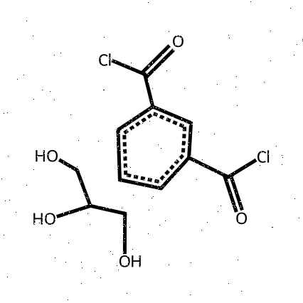 O=C(Cl)c1cccc(C(=O)Cl)c1.OCC(O)CO